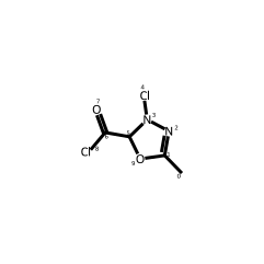 CC1=NN(Cl)C(C(=O)Cl)O1